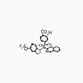 Cc1c(N(C2CCc3cc(OC(F)(F)F)ccc32)S(=O)(=O)c2ccc(C(=O)O)cc2)ncc2ccccc12